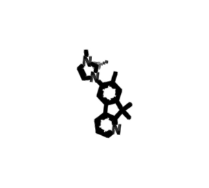 Cc1cc2c(cc1N1C=CN(C)[C@@H]1C)-c1cccnc1C2(C)C